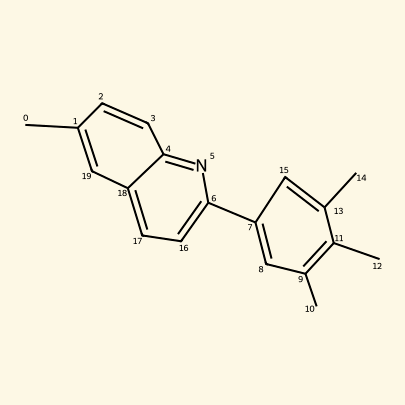 Cc1ccc2nc(-c3cc(C)c(C)c(C)c3)ccc2c1